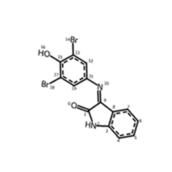 O=C1Nc2ccccc2C1=Nc1cc(Br)c(O)c(Br)c1